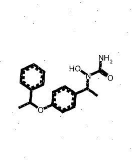 CC(Oc1ccc(C(C)N(O)C(N)=O)cc1)c1ccccc1